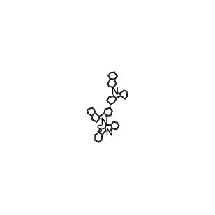 c1ccc2cc(-n3c4ccccc4c4cc(-c5ccc6c(c5)c5c7ccccc7ccc5n6-c5c6ccccc6nc6c5sc5ccccc56)ccc43)ccc2c1